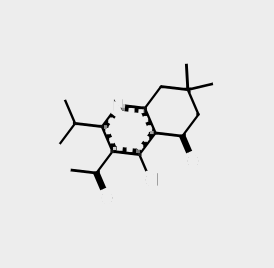 CC(=O)c1c(C(C)C)nc2c(c1Cl)C(=O)CC(C)(C)C2